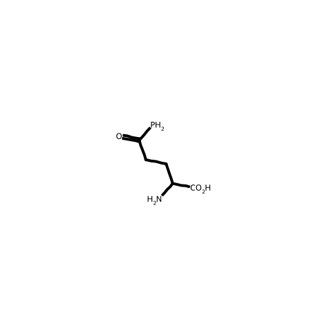 NC(CCC(=O)P)C(=O)O